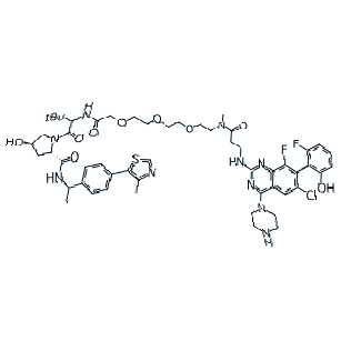 Cc1ncsc1-c1ccc(C(C)NC(=O)[C@@H]2C[C@@H](O)CN2C(=O)C(NC(=O)COCCOCCOCCN(C)C(=O)CCNc2nc(N3CCNCC3)c3cc(Cl)c(-c4c(O)cccc4F)c(F)c3n2)C(C)(C)C)cc1